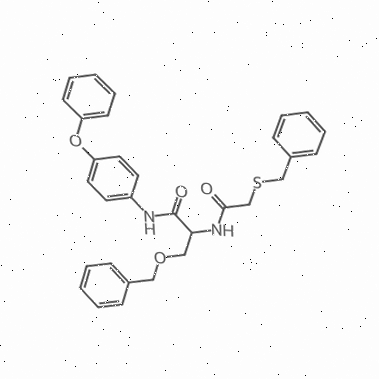 O=C(CSCc1ccccc1)NC(COCc1ccccc1)C(=O)Nc1ccc(Oc2ccccc2)cc1